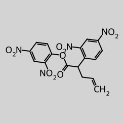 C=CCC(C(=O)Oc1ccc([N+](=O)[O-])cc1[N+](=O)[O-])c1ccc([N+](=O)[O-])cc1[N+](=O)[O-]